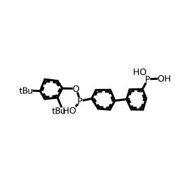 CC(C)(C)c1ccc(OP(O)c2ccc(-c3cccc(P(O)O)c3)cc2)c(C(C)(C)C)c1